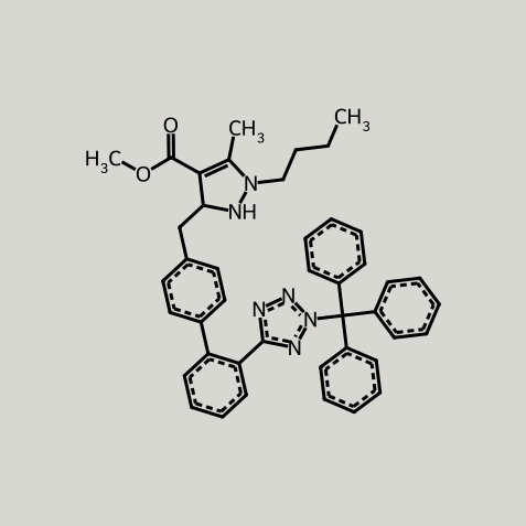 CCCCN1NC(Cc2ccc(-c3ccccc3-c3nnn(C(c4ccccc4)(c4ccccc4)c4ccccc4)n3)cc2)C(C(=O)OC)=C1C